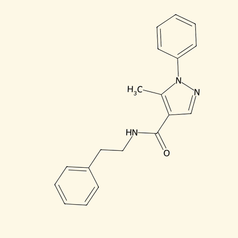 Cc1c(C(=O)NCCc2ccccc2)cnn1-c1ccccc1